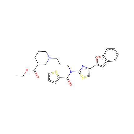 CCOC(=O)C1CCCN(CCCN(C(=O)c2cccs2)c2nc(-c3cc4ccccc4o3)cs2)C1